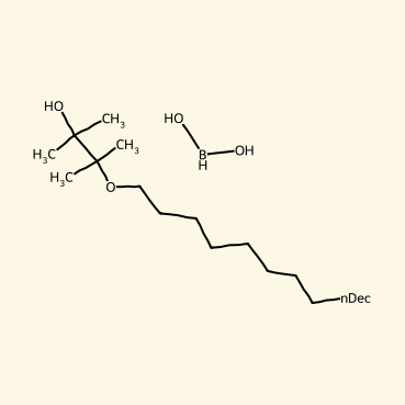 CCCCCCCCCCCCCCCCCCOC(C)(C)C(C)(C)O.OBO